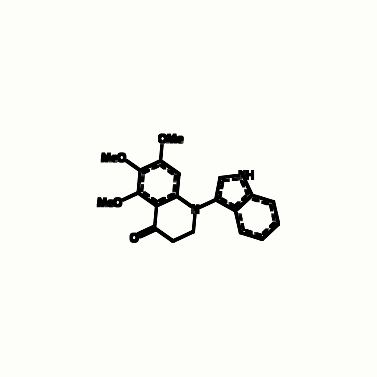 COc1cc2c(c(OC)c1OC)C(=O)CCN2c1c[nH]c2ccccc12